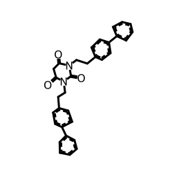 O=C1CC(=O)N(CCc2ccc(-c3ccccc3)cc2)C(=O)N1CCc1ccc(-c2ccccc2)cc1